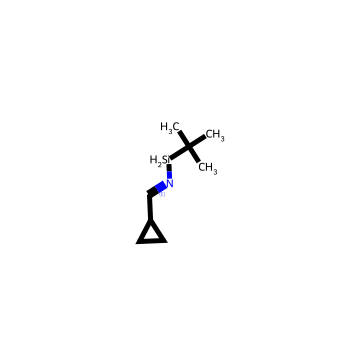 CC(C)(C)[SiH2]/N=C/C1CC1